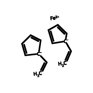 C=C[c-]1cccc1.C=C[c-]1cccc1.[Fe+2]